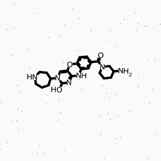 NC1CCCN(C(=O)c2ccc3c(c2)NC2=NC(O)N(C4CCCNCC4)C=C2O3)C1